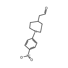 O=CCC1CCN(c2ccc([N+](=O)[O-])cc2)CC1